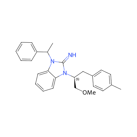 COC[C@H](Cc1ccc(C)cc1)n1c(=N)n(C(C)c2ccccc2)c2ccccc21